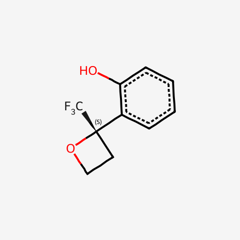 Oc1ccccc1[C@]1(C(F)(F)F)CCO1